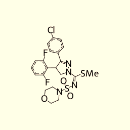 CSC(=NS(=O)(=O)N1CCOCC1)N1CC(c2c(F)cccc2F)C(c2ccc(Cl)cc2)=N1